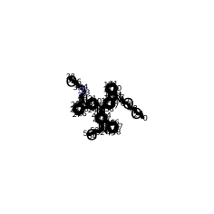 CCOCCOCCn1c2ccccc2c2cc(N(c3ccc4c(c3)c3ccccc3n4C/C=C\CCOC)c3ccc4c(c3)c3ccccc3n4CCOC)ccc21